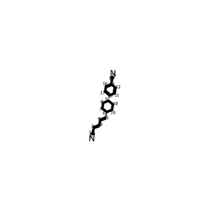 N#CC=CC=C[C@H]1CC[C@H](c2ccc(C#N)cc2)CC1